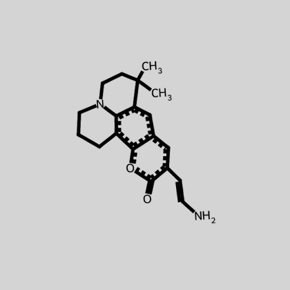 CC1(C)CCN2CCCc3c2c1cc1cc(/C=C/N)c(=O)oc31